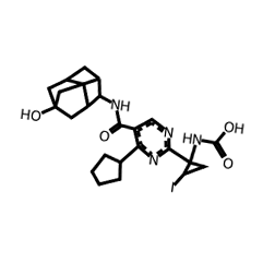 O=C(O)NC1(c2ncc(C(=O)NC3C4CC5CC3CC(O)(C5)C4)c(C3CCCC3)n2)CC1I